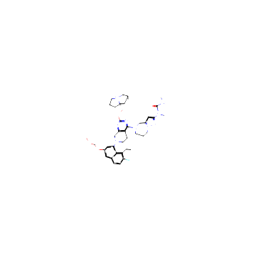 CCc1c(F)ccc2cc(OCOC)cc(N3CCc4c(nc(OC[C@@]56CCCN5C[C@H](F)C6)nc4N4CCCn5nc(N(C)C(=O)NC)cc5C4)C3)c12